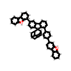 c1cc(-c2ccc(-c3ccc4c(c3)oc3ccccc34)cc2)c2c(c1)-c1cc(-c3cccc4c3oc3ccccc34)ccc1C21C2CC3CC(C2)CC1C3